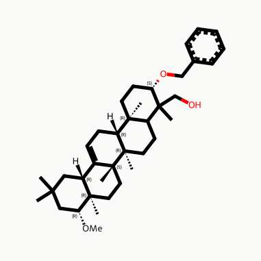 CO[C@@H]1CC(C)(C)C[C@@H]2C3=CC[C@@H]4[C@@]5(C)CC[C@H](OCc6ccccc6)C(C)(CO)C5CC[C@@]4(C)[C@]3(C)CC[C@]21C